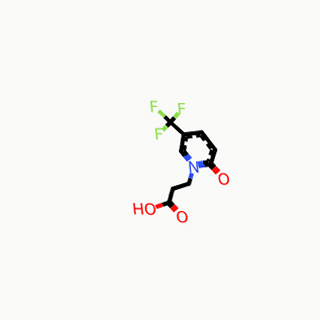 O=C(O)CCn1cc(C(F)(F)F)ccc1=O